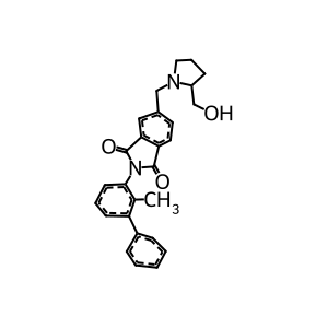 Cc1c(-c2ccccc2)cccc1N1C(=O)c2ccc(CN3CCCC3CO)cc2C1=O